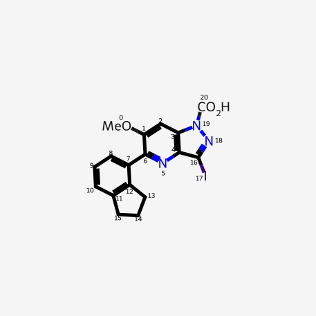 COc1cc2c(nc1-c1cccc3c1CCC3)c(I)nn2C(=O)O